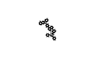 c1ccc(-c2nc(-c3ccccc3)nc(-c3cccc4c3Oc3ccc(-c5ccc(-n6c7ccccc7c7cc8ccccc8cc76)cc5)c5cccc-4c35)n2)cc1